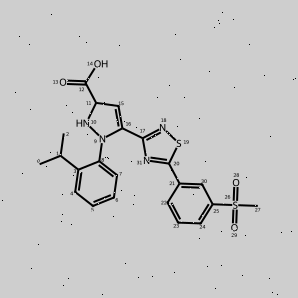 CC(C)c1ccccc1N1NC(C(=O)O)C=C1c1nsc(-c2cccc(S(C)(=O)=O)c2)n1